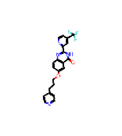 O=c1[nH]c(-c2cc(C(F)(F)F)ccn2)nc2ccc(OCCCc3ccncc3)cc12